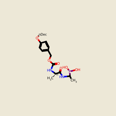 CCCCCCCCCCOc1ccc(COC(=O)N[C@@H](C)C(=O)NC(C)P(O)O)cc1